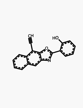 C#Cc1c2ccccc2cc2nc(-c3ccccc3O)oc12